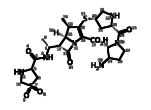 C[C@@H](NC(=O)C1CS(=O)(=O)CN1)[C@H]1C(=O)N2C(C(=O)O)=C(S[C@@H]3CN[C@H](C(=O)N4CCC(N)C4)C3)[C@H](C)[C@H]12